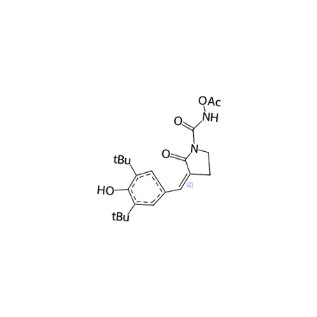 CC(=O)ONC(=O)N1CC/C(=C/c2cc(C(C)(C)C)c(O)c(C(C)(C)C)c2)C1=O